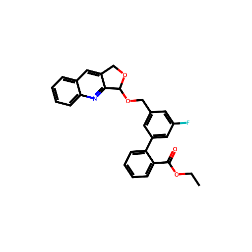 CCOC(=O)c1ccccc1-c1cc(F)cc(COC2OCc3cc4ccccc4nc32)c1